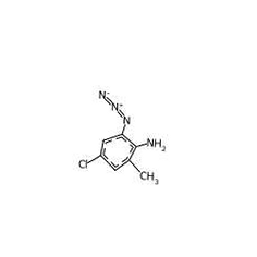 Cc1cc(Cl)cc(N=[N+]=[N-])c1N